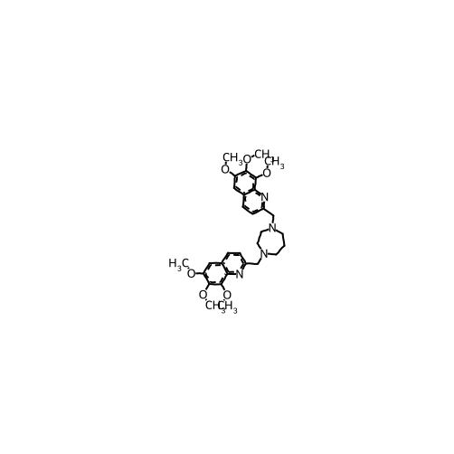 COc1cc2ccc(CN3CCCN(Cc4ccc5cc(OC)c(OC)c(OC)c5n4)CC3)nc2c(OC)c1OC